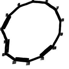 [C]1=C/C=C\CCCCCC/C=C\C=C/1